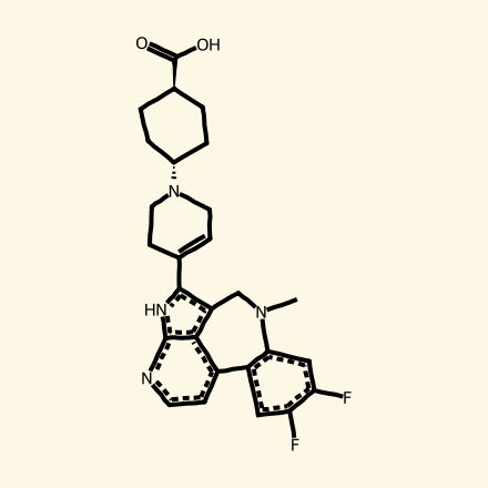 CN1Cc2c(C3=CCN([C@H]4CC[C@H](C(=O)O)CC4)CC3)[nH]c3nccc(c23)-c2cc(F)c(F)cc21